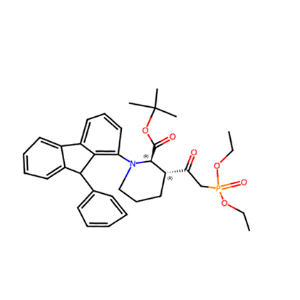 CCOP(=O)(CC(=O)[C@@H]1CCCN(c2cccc3c2C(c2ccccc2)c2ccccc2-3)[C@H]1C(=O)OC(C)(C)C)OCC